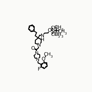 CCOc1cccc(F)c1CN1CCN(C(=O)CN2CCC(CCc3ccccc3)(CNCCO[Si](C)(C)C(C)(C)C)CC2)CC1